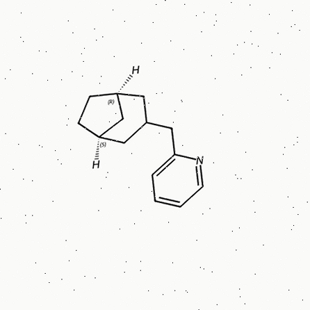 c1ccc(CC2C[C@H]3CC[C@@H](C2)C3)nc1